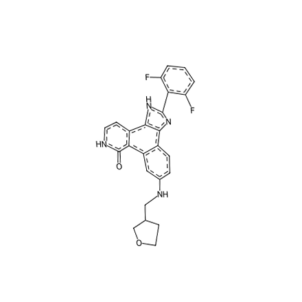 O=c1[nH]ccc2c3[nH]c(-c4c(F)cccc4F)nc3c3ccc(NCC4CCOC4)cc3c12